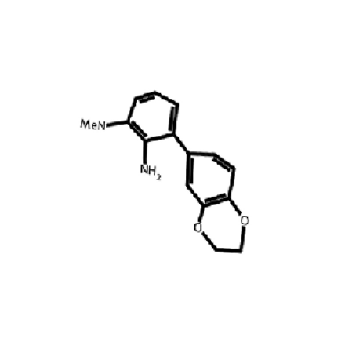 CNc1cccc(-c2ccc3c(c2)OCCO3)c1N